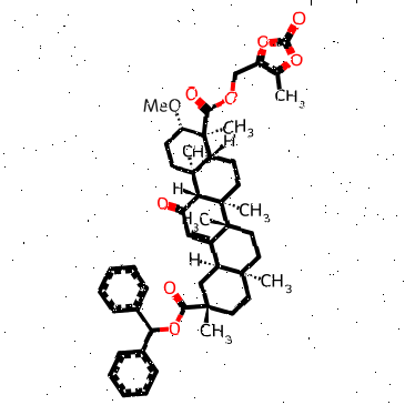 CO[C@H]1CC[C@@]2(C)[C@@H](CC[C@]3(C)[C@@H]2C(=O)C=C2[C@@H]4C[C@@](C)(C(=O)OC(c5ccccc5)c5ccccc5)CC[C@]4(C)CC[C@]23C)[C@]1(C)C(=O)OCc1oc(=O)oc1C